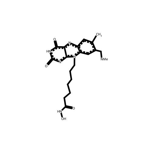 CNCc1cc2c(cc1C)nc1c(=O)[nH]c(=O)nc-1n2CCCCCCC(=O)NO